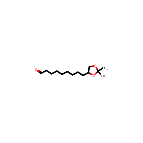 CC1(C)OCC(CCCCCCCCC=O)O1